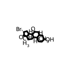 C[C@]12CC[C@H](O)C[C@@H]1CC(=O)[C@@H]1[C@@H]2CC[C@]2(C)C(=O)[C@H](Br)C[C@@H]12